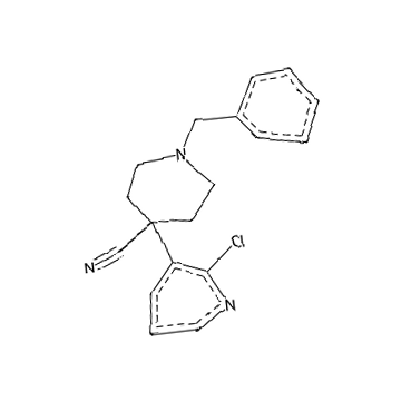 N#CC1(c2cccnc2Cl)CCN(Cc2ccccc2)CC1